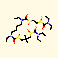 CCN(CC)C(=O)[S+]([O-])CC[S+]([O-])C(=O)N(CC)CCCCN(CC)C(=O)[S+]([O-])CC(C)(C)C[S+]([O-])C(=O)N(CC)CC